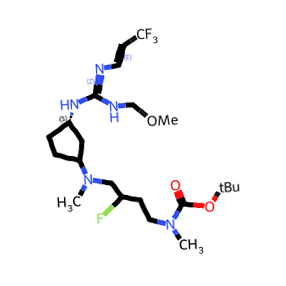 COCN/C(=N\C=C\C(F)(F)F)N[C@H]1CCC(N(C)CC(F)CCN(C)C(=O)OC(C)(C)C)C1